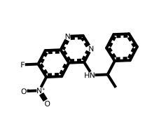 CC(Nc1ncnc2cc(F)c([N+](=O)[O-])cc12)c1ccccc1